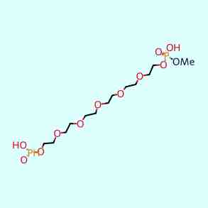 COP(=O)(O)OCCOCCOCCOCCOCCOCCO[PH](=O)O